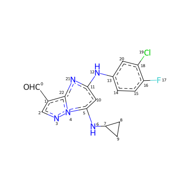 O=Cc1cnn2c(NC3CC3)cc(Nc3ccc(F)c(Cl)c3)nc12